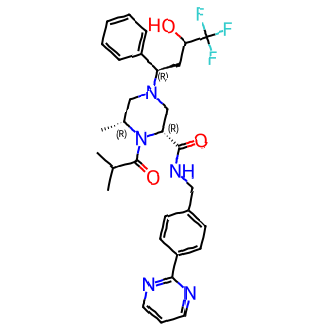 CC(C)C(=O)N1[C@H](C)CN([C@H](CC(O)C(F)(F)F)c2ccccc2)C[C@@H]1C(=O)NCc1ccc(-c2ncccn2)cc1